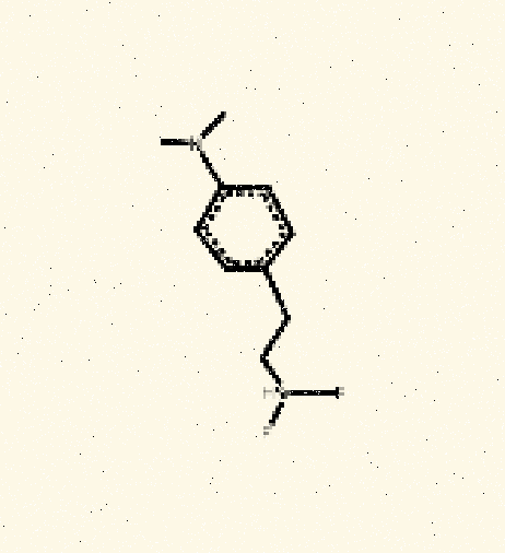 CN(C)c1ccc(CC[SiH](F)F)cc1